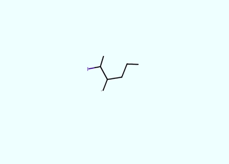 [CH2]C(CCC)C(C)I